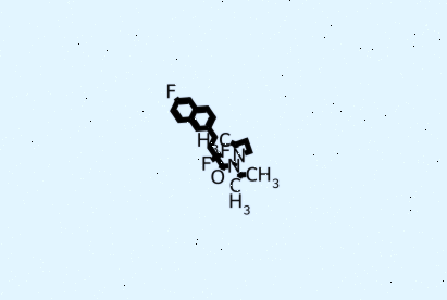 CC1CCN1N(C(=O)C(F)(F)CCc1ccc2cc(F)ccc2c1)C(C)C